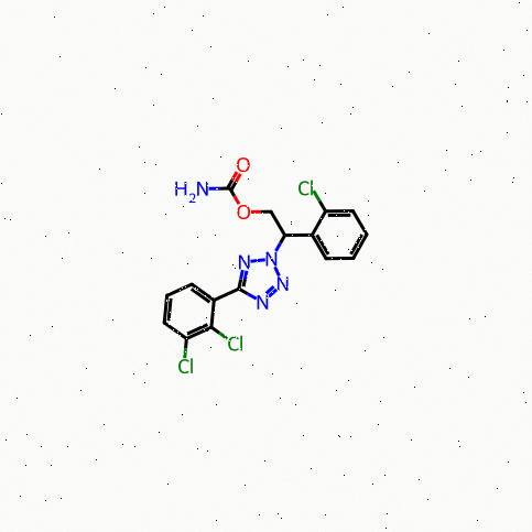 NC(=O)OCC(c1ccccc1Cl)n1nnc(-c2cccc(Cl)c2Cl)n1